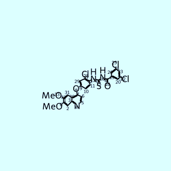 COc1cc2nccc(Oc3ccc(NC(=S)NC(=O)c4cc(Cl)cc(Cl)c4)c(Cl)c3)c2cc1OC